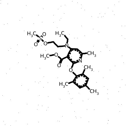 CCN(CCOS(C)(=O)=O)c1cc(C)nc(Oc2c(C)cc(C)cc2C)c1C(=O)OC